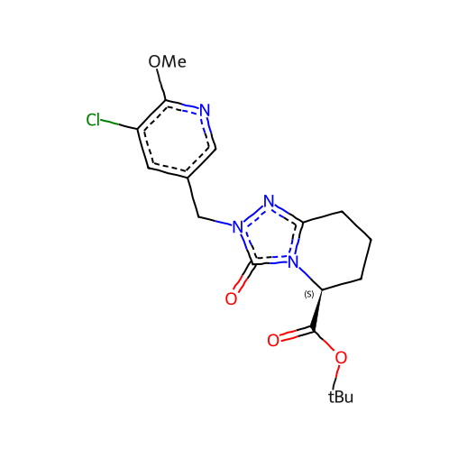 COc1ncc(Cn2nc3n(c2=O)[C@H](C(=O)OC(C)(C)C)CCC3)cc1Cl